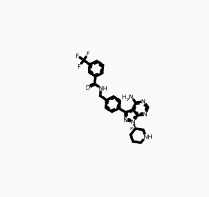 Nc1ncnc2c1c(-c1ccc(CNC(=O)c3cccc(C(F)(F)F)c3)cc1)nn2[C@@H]1CCCNC1